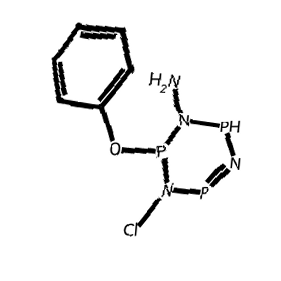 Nn1[pH]npn(Cl)p1Oc1ccccc1